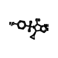 [CH]C1c2[nH]ncc2[C@@H](C2CC2)N1S(=O)(=O)c1ccc(C(F)(F)F)cc1